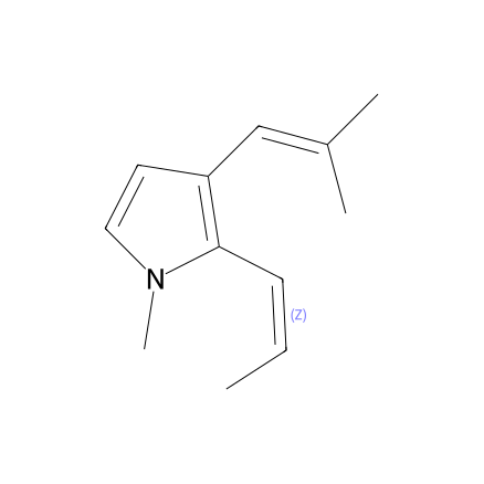 C/C=C\c1c(C=C(C)C)ccn1C